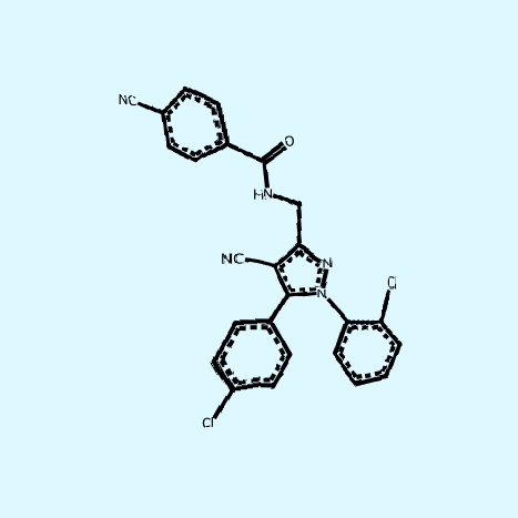 N#Cc1ccc(C(=O)NCc2nn(-c3ccccc3Cl)c(-c3ccc(Cl)cc3)c2C#N)cc1